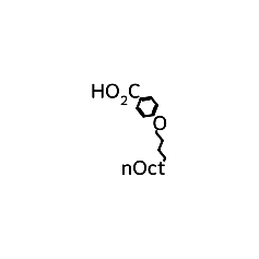 CCCCCCCCCCCCOc1ccc(C(=O)O)cc1